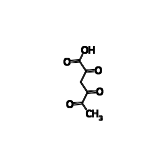 CC(=O)C(=O)CC(=O)C(=O)O